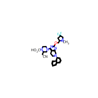 CN1CC(F)(F)CC1COc1nc2c(c(N3CCN(C(=O)O)C(CC#N)C3)n1)CCN(c1cccc3ccccc13)C2